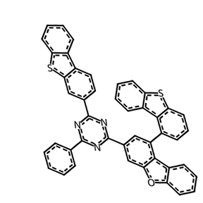 c1ccc(-c2nc(-c3cc(-c4cccc5sc6ccccc6c45)c4c(c3)oc3ccccc34)nc(-c3ccc4c(c3)sc3ccccc34)n2)cc1